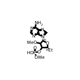 CC[C@H]1O[C@@H](n2cnc3c(N)ncnc32)C(OC)C1OP(=O)(O)OC